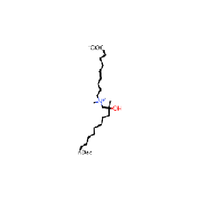 CCCCCCCCCCCCCCCCCCC(C)(O)C[N+](C)(C)CCCCCCCCC(=O)[O-]